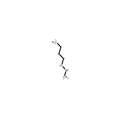 CCCC[O][Al][CH3]